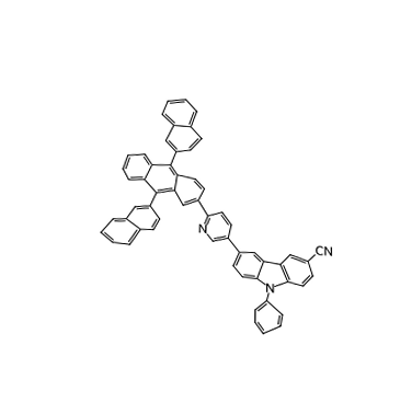 N#Cc1ccc2c(c1)c1cc(-c3ccc(-c4ccc5c(-c6ccc7ccccc7c6)c6ccccc6c(-c6ccc7ccccc7c6)c5c4)nc3)ccc1n2-c1ccccc1